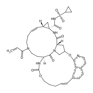 C=CC(=O)N1CC/C=C\[C@@H]2C[C@@]2(C(=O)NS(=O)(=O)C2CC2)NC(=O)[C@@H]2CC3CN2C(=O)[C@H](CC1)NC(=O)OCCC/C=C/c1ccc2ccnc(c2c1)O3